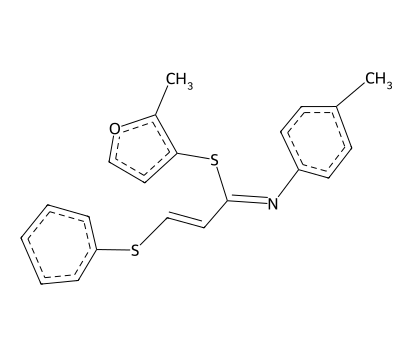 Cc1ccc(N=C(C=CSc2ccccc2)Sc2ccoc2C)cc1